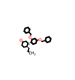 C=CC[C@H]1CCC(=O)C[C@@H]1c1ccc(OCc2ccccc2)cc1OCc1ccccc1